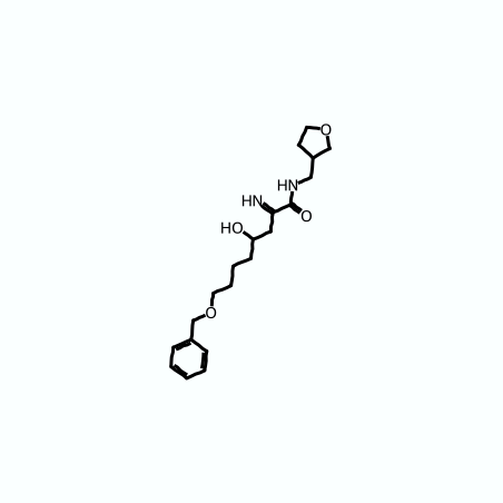 N=C(CC(O)CCCCOCc1ccccc1)C(=O)NCC1CCOC1